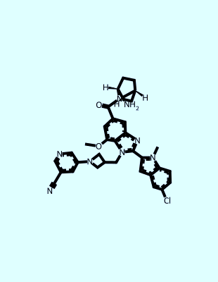 COc1cc(C(=O)N2C[C@H]3CC[C@@H]2[C@@H]3N)cc2nc(-c3cc4cc(Cl)ccc4n3C)n(CC3CN(c4cncc(C#N)c4)C3)c12